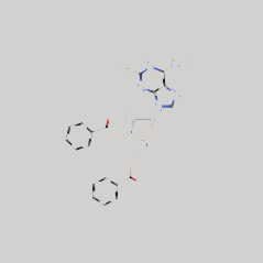 Nc1nc(Cl)nc2c1ncn2[C@@H]1O[C@H](COC(=O)c2ccccc2)C(OC(=O)c2ccccc2)[C@H]1F